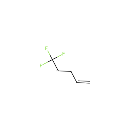 C=CC[CH]C(F)(F)F